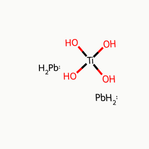 [OH][Ti]([OH])([OH])[OH].[PbH2].[PbH2]